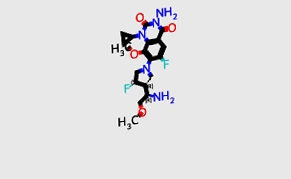 COC[C@H](N)[C@H]1CN(c2c(F)cc3c(=O)n(N)c(=O)n(C4CC4)c3c2OC)C[C@H]1F